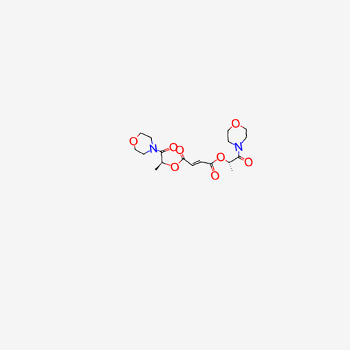 C[C@H](OC(=O)/C=C/C(=O)O[C@@H](C)C(=O)N1CCOCC1)C(=O)N1CCOCC1